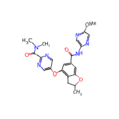 COc1cnc(NC(=O)c2cc(Oc3cnc(C(=O)N(C)C)nc3)c3c(c2)OC(C)C3)cn1